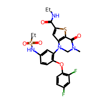 CCNC(=O)c1cc2c(s1)C(=O)N(C)CN2c1cc(NS(=O)(=O)CC)ccc1Oc1ccc(F)cc1F